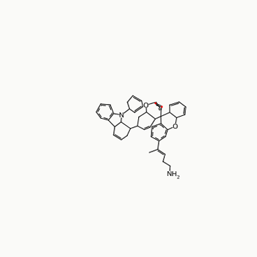 C/C(=C\CCN)c1ccc2c(c1)OC1C=CC=CC1C21c2ccccc2OC2CC(C3CC=CC4c5ccccc5N(C5C=CC=CC5)C43)C=CC21